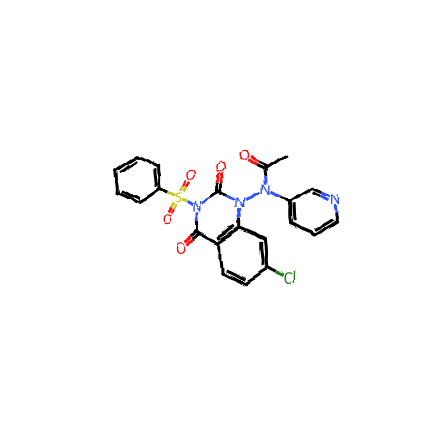 CC(=O)N(c1cccnc1)n1c(=O)n(S(=O)(=O)c2ccccc2)c(=O)c2ccc(Cl)cc21